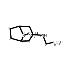 CCOC(=O)N1C2CCC1CC(NCC(=O)O)C2